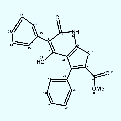 COC(=O)c1sc2[nH]c(=O)c(-c3ccccc3)c(O)c2c1-c1ccccc1